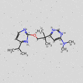 CC(C)c1ccnc(OCC(C)(C)c2cc(N(C)C)ncn2)n1